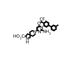 Cc1cccc(-c2ccc([C@@H](Oc3cc(N4CCC5(CC4)CN[C@H](C(=O)O)C5)nc(N)n3)C(F)(F)F)cc2)c1